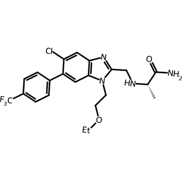 CCOCCn1c(CN[C@@H](C)C(N)=O)nc2cc(Cl)c(-c3ccc(C(F)(F)F)cc3)cc21